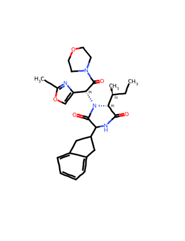 CC[C@H](C)[C@@H]1C(=O)NC(C2Cc3ccccc3C2)C(=O)N1[C@@H](C(=O)N1CCOCC1)c1coc(C)n1